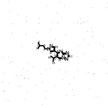 CC(C)CCn1cc(-c2nc3ncnn3cc2C(C)C)cn1